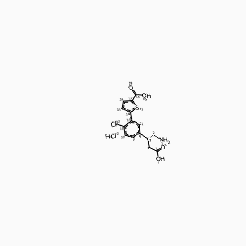 Cl.NC[C@H](CC(=O)O)c1ccc(Cl)c(-c2ccc(C(=O)O)s2)c1